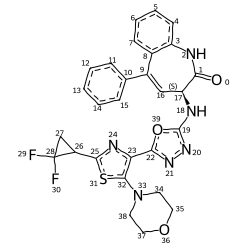 O=C1Nc2ccccc2C(c2ccccc2)=C[C@@H]1Nc1nnc(-c2nc(C3CC3(F)F)sc2N2CCOCC2)o1